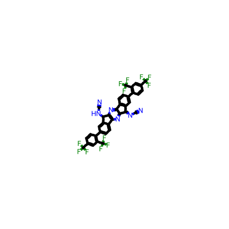 N#C/N=C1\c2cc(-c3ccc(C(F)(F)F)cc3C(F)(F)F)ccc2-c2nc3c(nc21)-c1ccc(-c2ccc(C(F)(F)F)cc2C(F)(F)F)cc1C3NC#N